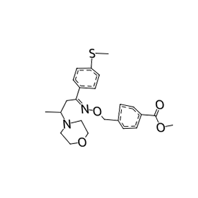 COC(=O)c1ccc(CON=C(CC(C)N2CCOCC2)c2ccc(SC)cc2)cc1